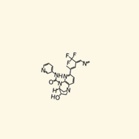 C=N/C=C(\C=C(/C)c1ccc2c(n1)N(C(=O)Nc1cccnc1)[C@@H]1CN2C[C@H]1O)C(F)(F)F